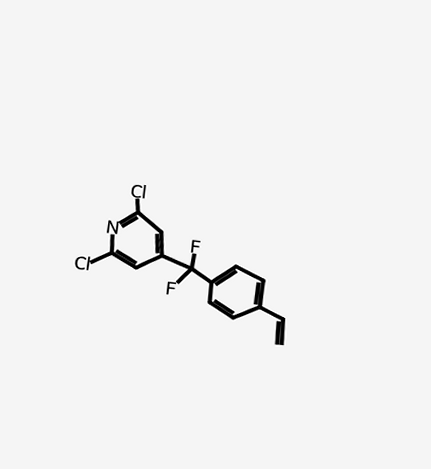 C=Cc1ccc(C(F)(F)c2cc(Cl)nc(Cl)c2)cc1